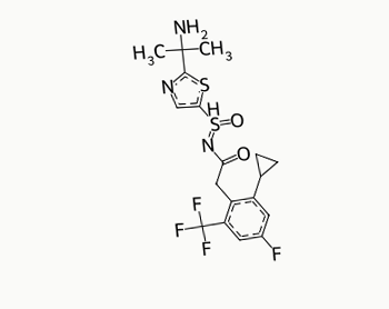 CC(C)(N)c1ncc([SH](=O)=NC(=O)Cc2c(C3CC3)cc(F)cc2C(F)(F)F)s1